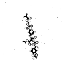 CCOC(=O)C1[C@@H](Cc2ccnc(NC(=O)OCOC(=O)C(C)C)c2)C(=O)N1C(=O)N[C@H](C)c1ccc2c(c1)OC(F)(F)O2